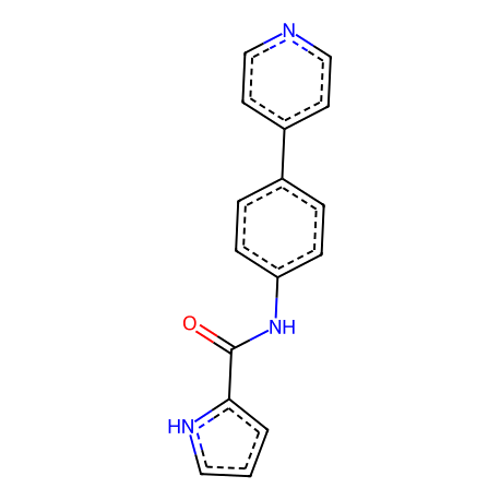 O=C(Nc1ccc(-c2ccncc2)cc1)c1ccc[nH]1